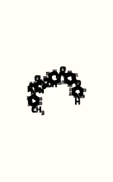 Cc1ccc(-n2ncc3c(=O)n(CC4(O)CCN(C(=O)c5ccc(OC6CCNCC6)cc5)CC4)cnc32)cc1